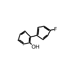 Oc1[c]cccc1-c1ccc(F)cc1